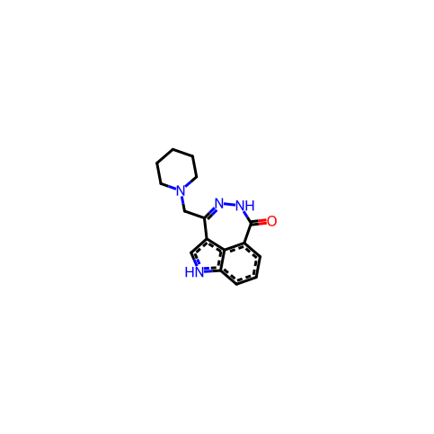 O=C1NN=C(CN2CCCCC2)c2c[nH]c3cccc1c23